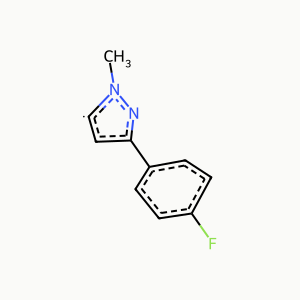 Cn1[c]cc(-c2ccc(F)cc2)n1